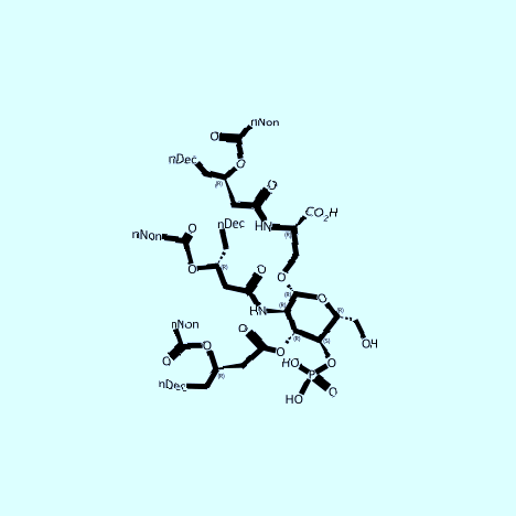 CCCCCCCCCCC[C@H](CC(=O)N[C@H]1[C@H](OC[C@@H](NC(=O)C[C@@H](CCCCCCCCCCC)OC(=O)CCCCCCCCC)C(=O)O)O[C@H](CO)[C@@H](OP(=O)(O)O)[C@@H]1OC(=O)C[C@@H](CCCCCCCCCCC)OC(=O)CCCCCCCCC)OC(=O)CCCCCCCCC